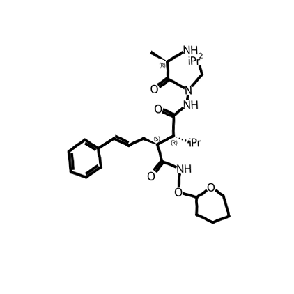 CC(C)CN(NC(=O)[C@H](C(C)C)[C@H](CC=Cc1ccccc1)C(=O)NOC1CCCCO1)C(=O)[C@@H](C)N